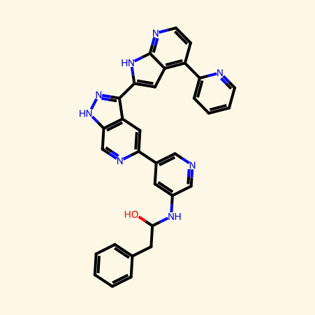 OC(Cc1ccccc1)Nc1cncc(-c2cc3c(-c4cc5c(-c6ccccn6)ccnc5[nH]4)n[nH]c3cn2)c1